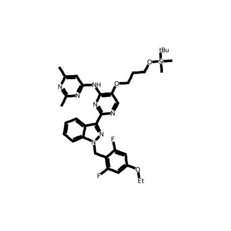 CCOc1cc(F)c(Cn2nc(-c3ncc(OCCCO[Si](C)(C)C(C)(C)C)c(Nc4cc(C)nc(C)n4)n3)c3ccccc32)c(F)c1